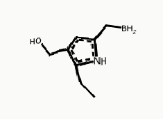 BCc1cc(CO)c(CC)[nH]1